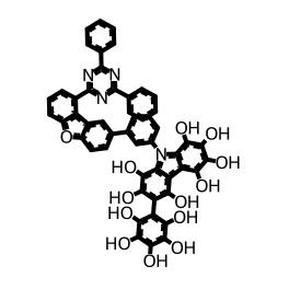 Oc1c(O)c(O)c(-c2c(O)c(O)c3c(c2O)c2c(O)c(O)c(O)c(O)c2n3-c2cccc(-c3ccc4oc5cccc(-c6nc(-c7ccccc7)nc(-c7ccccc7)n6)c5c4c3)c2)c(O)c1O